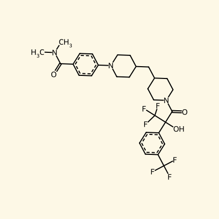 CN(C)C(=O)c1ccc(N2CCC(CC3CCN(C(=O)C(O)(c4cccc(C(F)(F)F)c4)C(F)(F)F)CC3)CC2)cc1